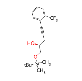 CC(C)(C)[Si](C)(C)OC[C@@H](O)CC#Cc1ccccc1C(F)(F)F